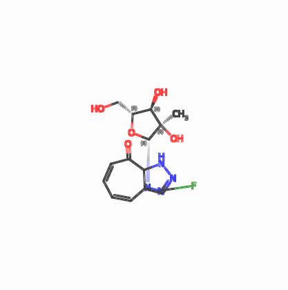 C[C@@]1(O)[C@H](O)[C@@H](CO)O[C@H]1N1CC23C=CC=CC(=O)C2NN=C3C(F)=N1